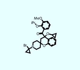 COc1cccc(C(=O)C2(OC3CC3)CC3(CCN(C4(Br)CC4)CC3)Oc3ccccc32)c1OC(C)C